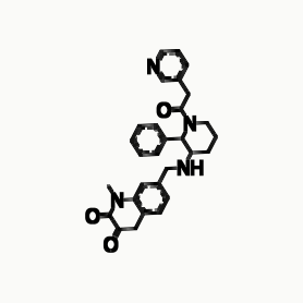 CN1C(=O)C(=O)Cc2ccc(CNC3CCCN(C(=O)Cc4cccnc4)C3c3ccccc3)cc21